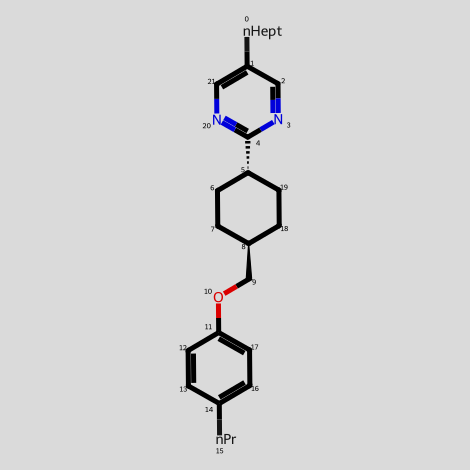 CCCCCCCc1cnc([C@H]2CC[C@H](COc3ccc(CCC)cc3)CC2)nc1